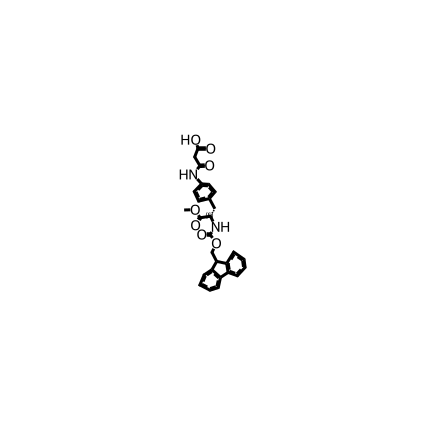 COC(=O)[C@H](Cc1ccc(NC(=O)CC(=O)O)cc1)NC(=O)OCC1c2ccccc2-c2ccccc21